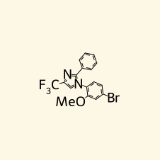 COc1cc(Br)ccc1-n1cc(C(F)(F)F)nc1-c1ccccc1